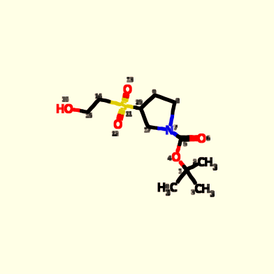 CC(C)(C)OC(=O)N1CCC(S(=O)(=O)CCO)C1